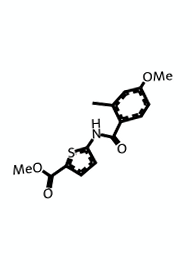 COC(=O)c1ccc(NC(=O)c2ccc(OC)cc2C)s1